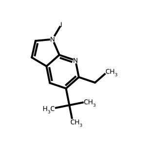 CCc1nc2c(ccn2I)cc1C(C)(C)C